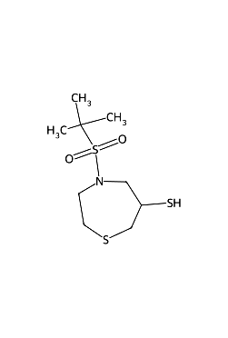 CC(C)(C)S(=O)(=O)N1CCSCC(S)C1